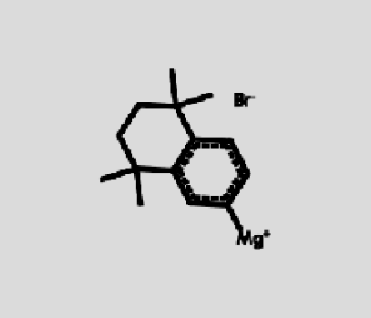 CC1(C)CCC(C)(C)c2c[c]([Mg+])ccc21.[Br-]